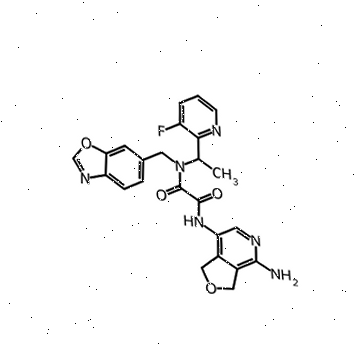 CC(c1ncccc1F)N(Cc1ccc2ncoc2c1)C(=O)C(=O)Nc1cnc(N)c2c1COC2